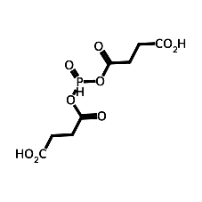 O=C(O)CCC(=O)O[PH](=O)OC(=O)CCC(=O)O